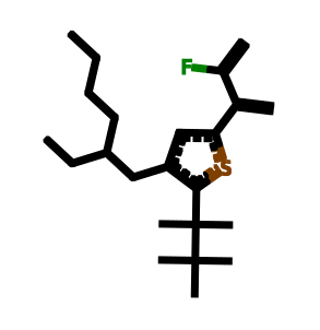 C=C(F)C(=C)c1cc(CC(CC)CCCC)c(C(C)(C)C(C)(C)C)s1